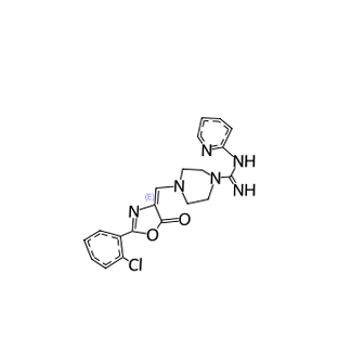 N=C(Nc1ccccn1)N1CCN(/C=C2/N=C(c3ccccc3Cl)OC2=O)CC1